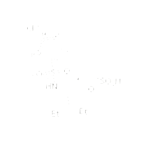 CCC(CC)[C@@H](COS(=O)(=O)O)NS(=O)(=O)c1ccc(Cl)s1